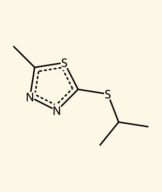 Cc1nnc(SC(C)C)s1